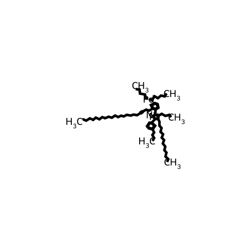 CCCCCCCCCCCCCCCCCCCC#CCCc1ccccc1C1=C(CCCC)C(CCCCCCCCCCCCCC)=C(c2cccc(CCCC)c2)[N+]1=[N-].CCCCC[CH2][Pd][CH2]CCCCC